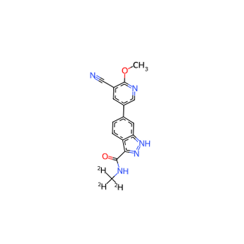 [2H]C([2H])([2H])NC(=O)c1n[nH]c2cc(-c3cnc(OC)c(C#N)c3)ccc12